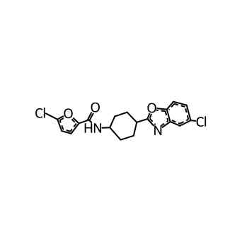 O=C(NC1CCC(c2nc3cc(Cl)ccc3o2)CC1)c1ccc(Cl)o1